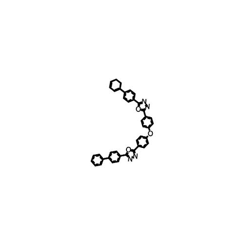 C1=CCCC(c2ccc(-c3nnc(-c4ccc(Oc5ccc(-c6nnc(-c7ccc(-c8ccccc8)cc7)o6)cc5)cc4)o3)cc2)=C1